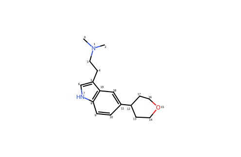 CN(C)CCc1c[nH]c2ccc(C3CCOCC3)cc12